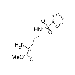 COC(=O)[C@@H](N)CCCNS(=O)(=O)c1ccccc1